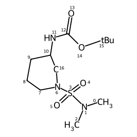 CN(C)S(=O)(=O)N1CCCC(NC(=O)OC(C)(C)C)C1